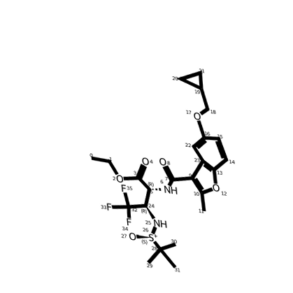 CCOC(=O)[C@H](NC(=O)c1c(C)oc2ccc(OCC3CC3)cc12)[C@@H](N[S@+]([O-])C(C)(C)C)C(F)(F)F